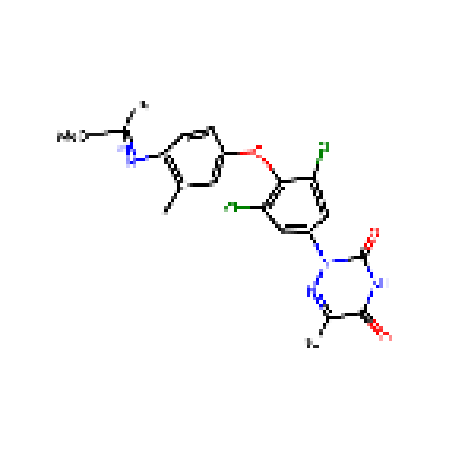 CO/C(=N/c1ccc(Oc2c(Cl)cc(-n3nc(C#N)c(=O)[nH]c3=O)cc2Cl)cc1C)C(C)C